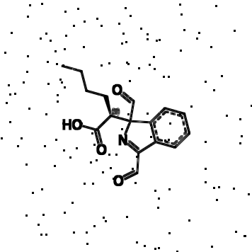 CCCC[C@H](C(=O)O)C1(C=O)N=C(C=O)c2ccccc21